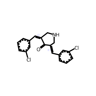 O=C1/C(=C\c2cccc(Cl)c2)CNC/C1=C\c1cccc(Cl)c1